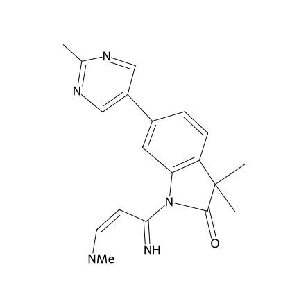 CN/C=C\C(=N)N1C(=O)C(C)(C)c2ccc(-c3cnc(C)nc3)cc21